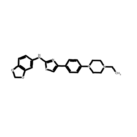 CCN1CCN(c2ccc(-c3csc(Nc4ccc5c(c4)OCO5)n3)cc2)CC1